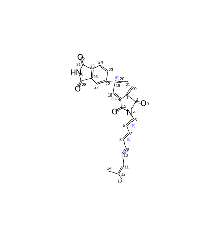 C=C1C(=O)N(/C=C/C=C/C=C/C=C(C)C)C(=O)/C1=C/C(=C\C)c1ccc2c(c1)C(=O)NC2=O